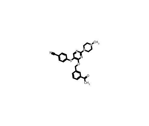 CC(=O)c1cccc(COc2nc(N3CCN(C)CC3)ncc2Sc2ccc(C#N)cc2)c1